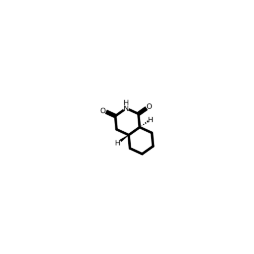 O=C1C[C@H]2CCCC[C@@H]2C(=O)N1